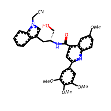 COc1ccc2nc(-c3cc(OC)c(OC)c(OC)c3)cc(C(=O)N[C@@H](CO)Cc3cn(CC#N)c4ccccc34)c2c1